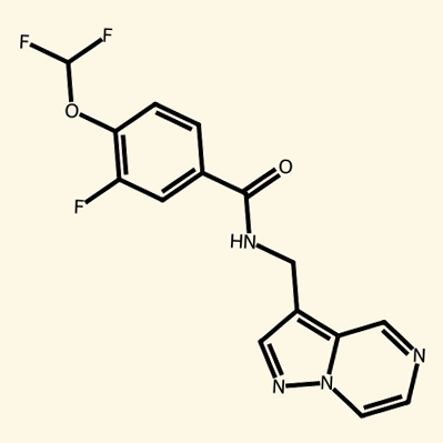 O=C(NCc1cnn2ccncc12)c1ccc(OC(F)F)c(F)c1